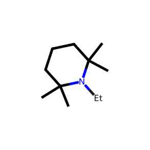 CCN1C(C)(C)CCCC1(C)C